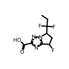 CCC(F)(F)C1CC(F)c2nc(C(=O)O)nn21